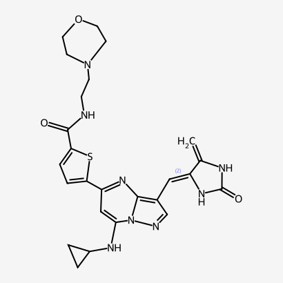 C=c1[nH]c(=O)[nH]/c1=C\c1cnn2c(NC3CC3)cc(-c3ccc(C(=O)NCCN4CCOCC4)s3)nc12